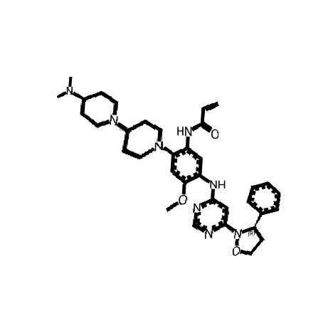 C=CC(=O)Nc1cc(Nc2cc(N3OCC[C@@H]3c3ccccc3)ncn2)c(OC)cc1N1CCC(N2CCC(N(C)C)CC2)CC1